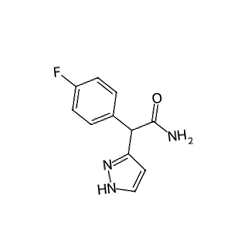 NC(=O)C(c1ccc(F)cc1)c1cc[nH]n1